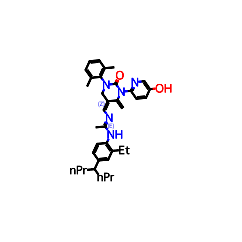 C=C1/C(=C\N=C(/C)Nc2ccc(C(CCC)CCC)cc2CC)CN(c2c(C)cccc2C)C(=O)N1c1ccc(O)cn1